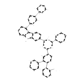 Cc1ccccc1-c1ccc(-c2nc(-c3ccccc3)nc(-c3ccc4c(c3)oc3cccc(-c5ccc(-c6ccccc6)cc5)c34)n2)cc1-c1ccccc1